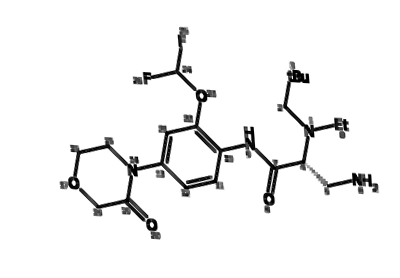 CCN(CC(C)(C)C)[C@H](CN)C(=O)Nc1ccc(N2CCOCC2=O)cc1OC(F)F